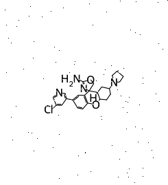 NC1=NC2(CO1)c1cc(-c3cncc(Cl)c3)ccc1OC1CCC(N3CCCC3)C[C@@H]12